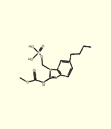 CCCCc1ccc2nc(NC(=O)OC)n(COP(=O)(O)O)c2c1